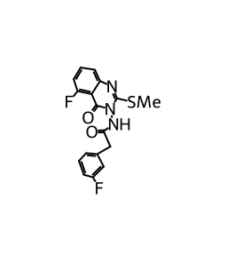 CSc1nc2cccc(F)c2c(=O)n1NC(=O)Cc1cccc(F)c1